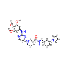 COc1cc(Nc2nccc(N3CCC[C@H](C(=O)NCc4cccc(N5C=CCC5)c4)C3)n2)cc(OC)c1OC